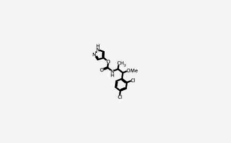 COC(c1ccc(Cl)cc1Cl)C(C)NC(=O)Oc1cn[nH]c1